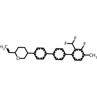 C=CC1CCC(c2ccc(-c3ccc(-c4ccc(C)c(F)c4C(F)F)cc3)cc2)CO1